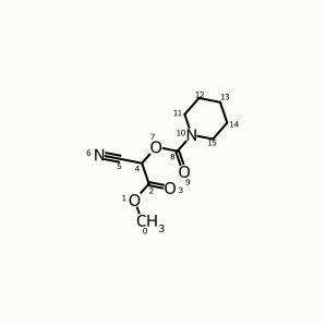 COC(=O)C(C#N)OC(=O)N1CCCCC1